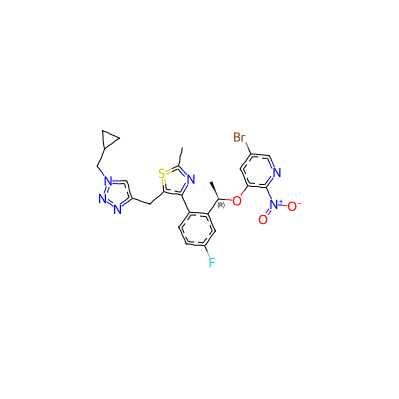 Cc1nc(-c2ccc(F)cc2[C@@H](C)Oc2cc(Br)cnc2[N+](=O)[O-])c(Cc2cn(CC3CC3)nn2)s1